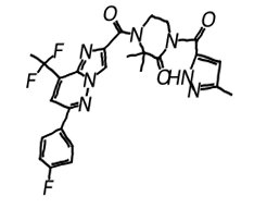 Cc1cc(C(=O)N2CCN(C(=O)c3cn4nc(-c5ccc(F)cc5)cc(C(C)(F)F)c4n3)C(C)(C)C2=O)[nH]n1